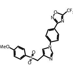 COc1ccc(S(=O)(=O)Cc2cn(-c3ccc(-c4noc(C(F)(F)F)n4)cc3)cn2)cc1